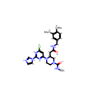 CCCNC(=O)N1CCN(c2cc(Cl)nc(-n3ccnc3)n2)C(CC(=O)NCc2ccc(OC)c(OC)c2)C1